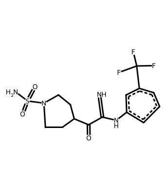 N=C(Nc1cccc(C(F)(F)F)c1)C(=O)C1CCN(S(N)(=O)=O)CC1